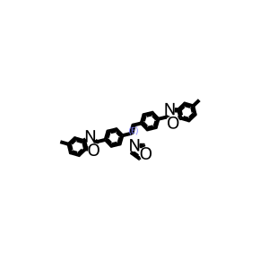 Cc1ccc2oc(-c3ccc(/C=C/c4ccc(-c5nc6cc(C)ccc6o5)cc4)cc3)nc2c1.c1cocn1